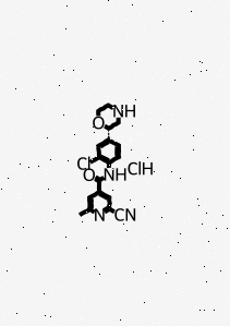 Cc1cc(C(=O)Nc2ccc([C@H]3CNCCO3)cc2Cl)cc(C#N)n1.Cl